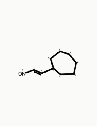 O=N/C=C/C1CCCCCC1